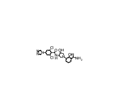 Nc1noc2c(N3C[C@H](NC(=O)c4c(Cl)cc(-n5cnnc5)cc4Cl)[C@@H](O)C3)cccc12